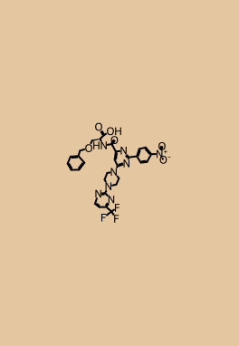 O=C(N[C@@H](COCc1ccccc1)C(=O)O)c1cc(N2CCN(c3nccc(C(F)(F)F)n3)CC2)nc(-c2ccc([N+](=O)[O-])cc2)n1